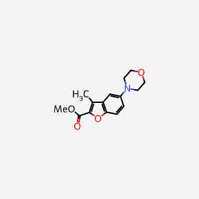 COC(=O)c1oc2ccc(N3CCOCC3)cc2c1C